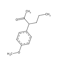 CCCC(C(C)=O)c1ccc(OC)cc1